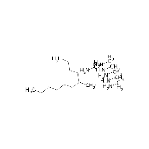 CN.CN.CN.CN.CN.CN.[CH2]C(CCCC)CCCCCC